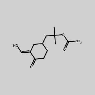 CC(C)(CC1CCC(=O)C(=CO)C1)OC(N)=O